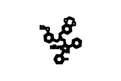 CCCCn1c(-c2ccccc2C)nc(-c2ccccc2)c1CN(Cc1cccc(OCC)c1)Cc1ccc2c(c1)OCCO2